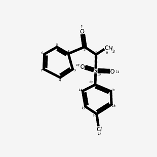 CC(C(=O)c1ccccc1)S(=O)(=O)c1ccc(Cl)cc1